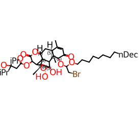 CCCCCCCCCCCCCCCCCCOC(CBr)O[C@@H]1C(=O)C=C(C)[C@@H]2C[C@H]3OC(=O)C(OC(=O)CC(O)(C(C)C)C(C)C)C4[C@@H](C)[C@@H](O)[C@@]5(O)OC[C@@]43C5[C@@]12C